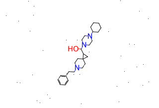 O[C@H](C1CC12CCN(CCc1ccccc1)CC2)N1CCN(C2CCCCC2)CC1